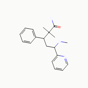 CNC(CC(c1ccccc1)C(C)(C)C(N)=O)c1ccccn1